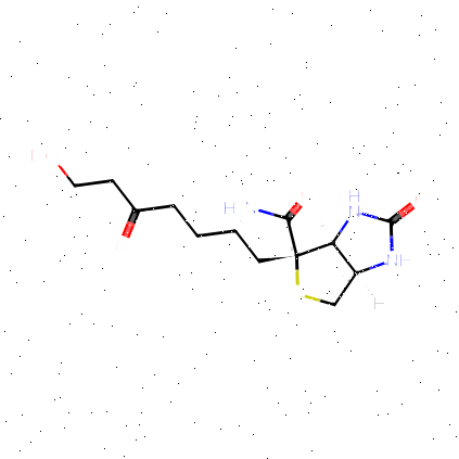 NC(=O)[C@@]1(CCCCC(=O)CCO)SC[C@@H]2NC(=O)N[C@@H]21